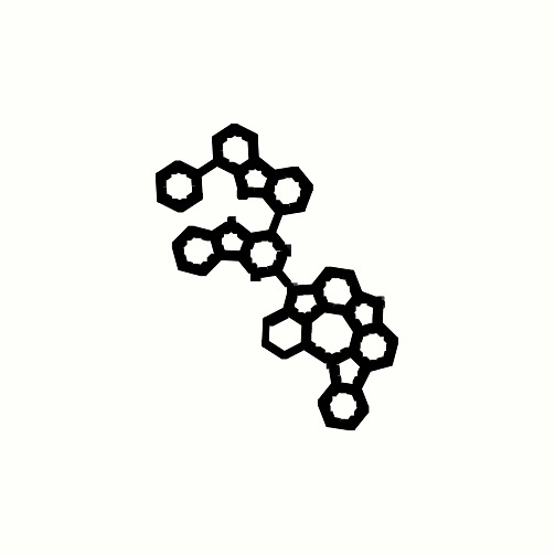 C1=c2c3c(n4c5ccccc5c5ccc6sc7ccc(c3c7c6c54)n2-c2nc(-c3cccc4c3oc3c(-c5ccccc5)cccc34)c3sc4ccccc4c3n2)CC1